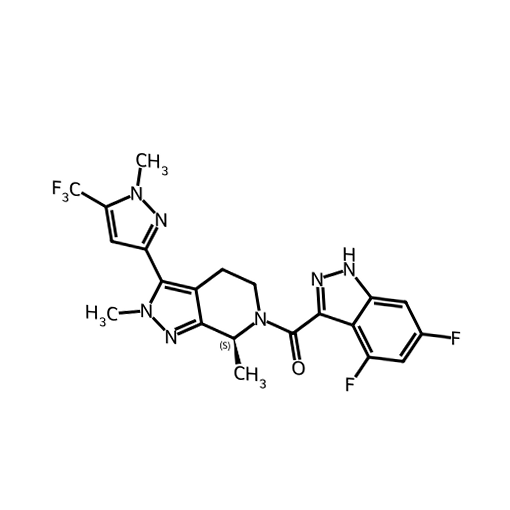 C[C@H]1c2nn(C)c(-c3cc(C(F)(F)F)n(C)n3)c2CCN1C(=O)c1n[nH]c2cc(F)cc(F)c12